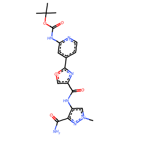 Cn1cc(NC(=O)c2coc(-c3ccnc(NC(=O)OC(C)(C)C)c3)n2)c(C(N)=O)n1